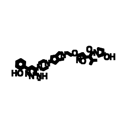 CNc1nnc(-c2ccccc2O)cc1N1CCN(C2CC3CN(CCOc4cc(C(C(=O)N5CC[C@@H](O)C5)C(C)C)on4)CC3C2)CC1